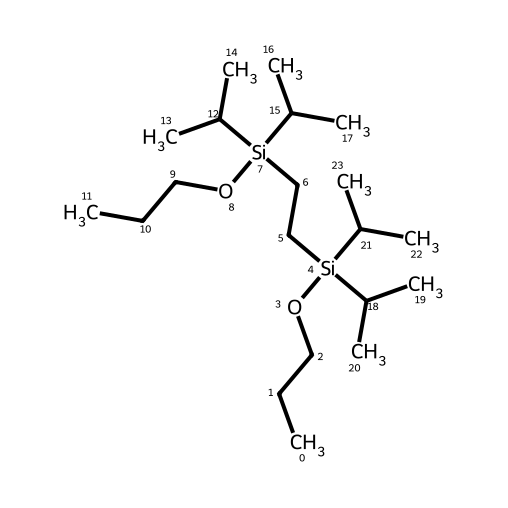 CCCO[Si](CC[Si](OCCC)(C(C)C)C(C)C)(C(C)C)C(C)C